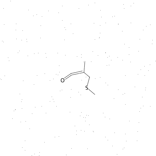 CSCC(C)=C=O